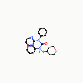 O=C(N(NC1CCOCC1)c1cccnc1)N(c1ccccc1)c1ncccn1